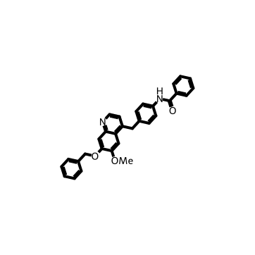 COc1cc2c(Cc3ccc(NC(=O)c4ccccc4)cc3)ccnc2cc1OCc1ccccc1